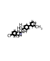 Cc1cc(C2CCC(C(C)N/C(=N/S)Nc3ccc(Cl)cc3)CC2)ccn1